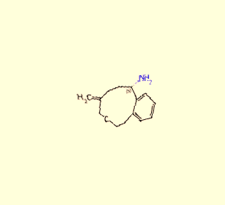 C=C1CCCCc2ccccc2[C@@H](N)CC1